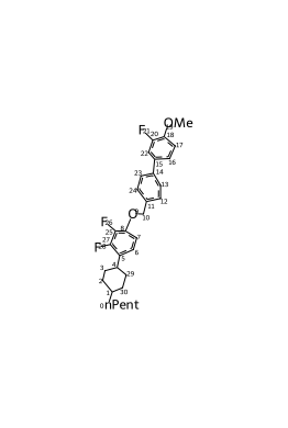 CCCCCC1CCC(c2ccc(OCc3ccc(-c4ccc(OC)c(F)c4)cc3)c(F)c2F)CC1